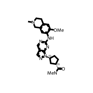 CNC(=O)[C@H]1CC[C@H](n2ncc3cnc(Nc4cc5c(cc4OC)CCN(C)C5)nc32)C1